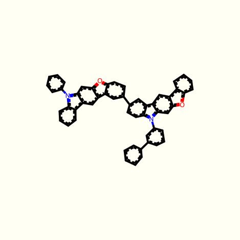 c1ccc(-c2cccc(-n3c4ccc(-c5ccc6oc7cc8c(cc7c6c5)c5ccccc5n8-c5ccccc5)cc4c4cc5c(cc43)oc3ccccc35)c2)cc1